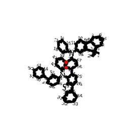 CC1(C)c2ccccc2-c2ccc(N(c3ccccc3)c3ccc(-c4ccc5c(sc6ccccc65)c4N(c4ccccc4)c4cccc(-c5ccccc5)c4)cc3)cc21